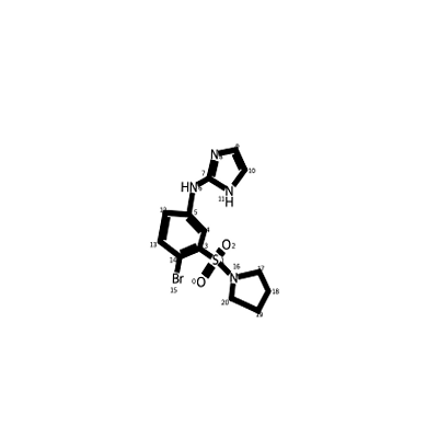 O=S(=O)(c1cc(Nc2ncc[nH]2)ccc1Br)N1CCCC1